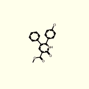 COC(=O)c1cc(-c2ccccc2)c(-c2ccc(Cl)cc2)[nH]c1=O